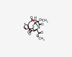 COC(=O)C1=C2C(=O)c3ccsc3CC(=O)N[C@]3(OC)C(=O)N1[C@H]3SC2C=O